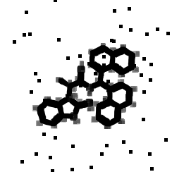 C[C@@H](C(=O)OC(c1cccc2ccccc12)c1cccc2ccccc12)n1c(=O)oc2ccccc21